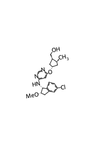 CO[C@H]1Cc2cc(Cl)ccc2[C@H]1Nc1cc(O[C@@H]2C[C@@H](CO)[C@@H](C)C2)ncn1